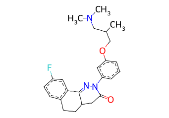 CC(COc1cccc(N2N=C3c4cc(F)ccc4CCC3CC2=O)c1)CN(C)C